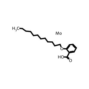 CCCCCCCCCCCCOc1ccccc1C(=O)O.[Mo]